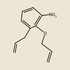 C=CCOc1c(CC=C)cccc1[N+](=O)[O-]